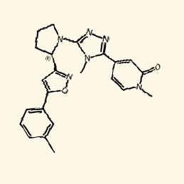 Cc1cccc(-c2cc([C@H]3CCCN3c3nnc(-c4ccn(C)c(=O)c4)n3C)no2)c1